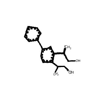 CC(CO)c1ccc(-c2ccccc2)cc1C(C)CO